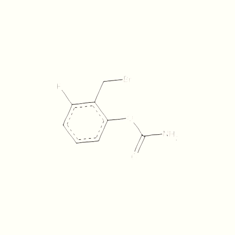 NC(=O)Oc1cccc(F)c1CBr